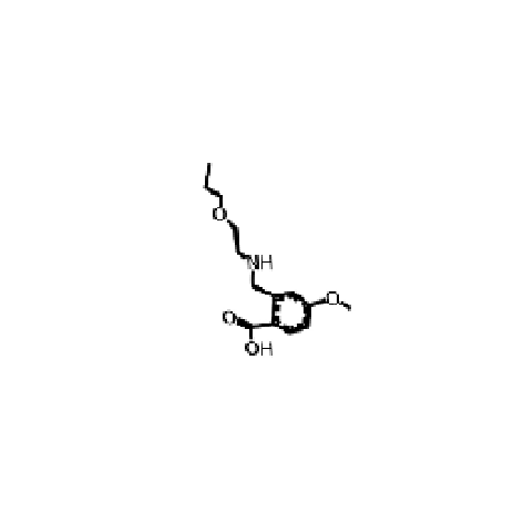 CCCOCCNCc1cc(OC)ccc1C(=O)O